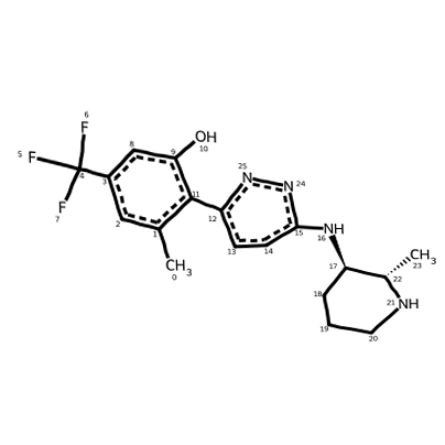 Cc1cc(C(F)(F)F)cc(O)c1-c1ccc(N[C@@H]2CCCN[C@H]2C)nn1